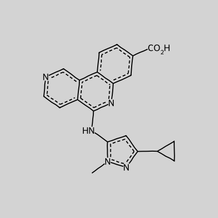 Cn1nc(C2CC2)cc1Nc1nc2cc(C(=O)O)ccc2c2cnccc12